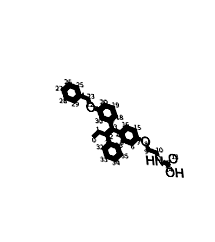 CCC(=C(c1ccc(OCCNC(=O)O)cc1)c1cccc(OCc2ccccc2)c1)c1ccccc1